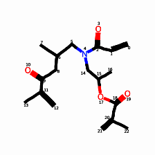 C=CC(=O)N(CC(C)CC(=O)C(=C)C)CC(C)OC(=O)C(=C)C